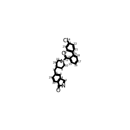 O=C1N=Cc2cc(CC3CCN(C(=O)c4ccccc4-c4ccc(Cl)cc4)CC3)ccc21